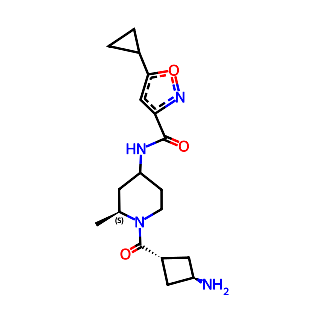 C[C@H]1CC(NC(=O)c2cc(C3CC3)on2)CCN1C(=O)[C@H]1C[C@H](N)C1